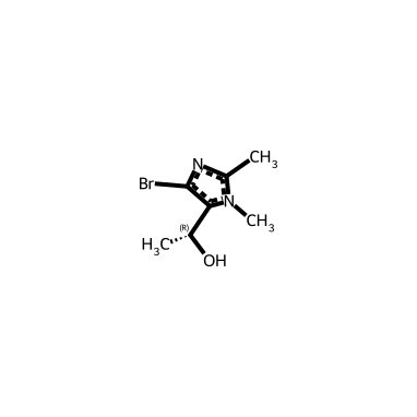 Cc1nc(Br)c([C@@H](C)O)n1C